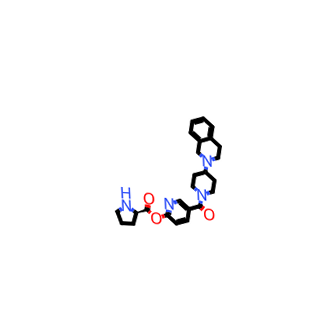 O=C(Oc1ccc(C(=O)N2CCC(N3CCc4ccccc4C3)CC2)cn1)[C@H]1CCCN1